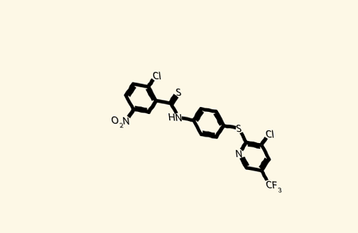 O=[N+]([O-])c1ccc(Cl)c(C(=S)Nc2ccc(Sc3ncc(C(F)(F)F)cc3Cl)cc2)c1